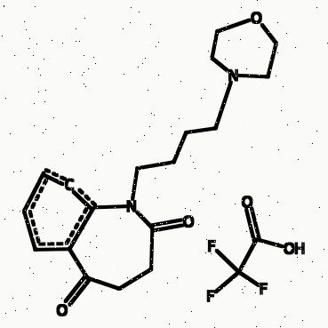 O=C(O)C(F)(F)F.O=C1CCC(=O)N(CCCCN2CCOCC2)c2ccccc21